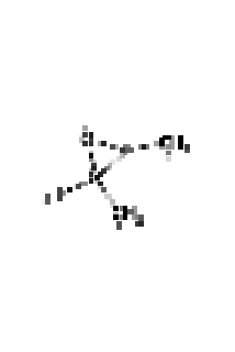 CC1OC1(C)I